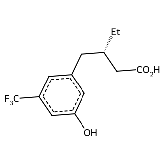 CC[C@H](CC(=O)O)Cc1cc(O)cc(C(F)(F)F)c1